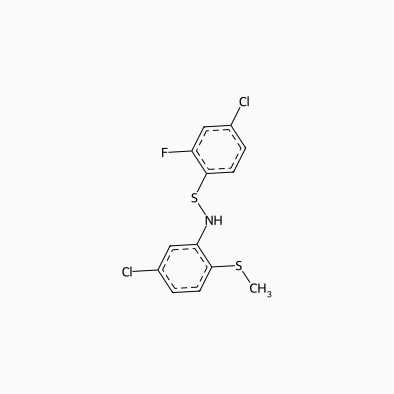 CSc1ccc(Cl)cc1NSc1ccc(Cl)cc1F